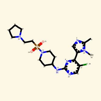 Cc1ncc(-c2nc(NC3CCN(S(=O)(=O)CCN4CCCC4)CC3)ncc2F)n1C(C)C